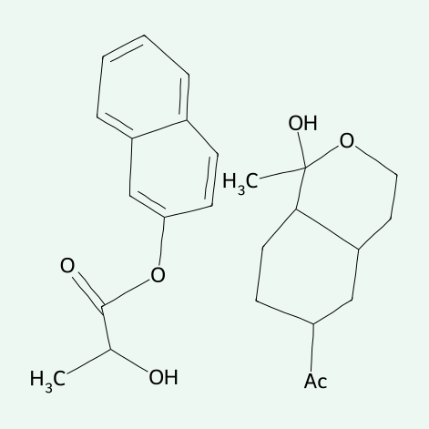 CC(=O)C1CCC2C(CCOC2(C)O)C1.CC(O)C(=O)Oc1ccc2ccccc2c1